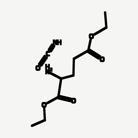 CCOC(=O)CCC(N)C(=O)OCC.N=C=O